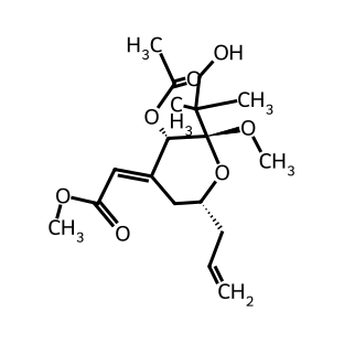 C=CC[C@@H]1C/C(=C\C(=O)OC)[C@H](OC(C)=O)[C@](OC)(C(C)(C)CO)O1